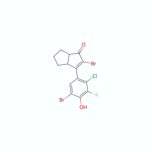 O=C1C(Br)=C(c2cc(Br)c(O)c(F)c2Cl)C2CCCC12